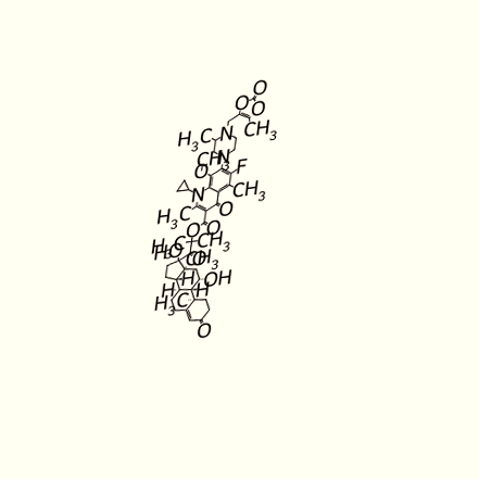 COc1c(N2CCN(Cc3oc(=O)oc3C)C(C)C2)c(F)c(C)c2c(=O)c(C(=O)OC(C)(C)C(=O)[C@@]3(O)CC[C@H]4[C@@H]5CCC6=CC(=O)CC[C@]6(C)[C@H]5[C@@H](O)C[C@@]43C)c(C)n(C3CC3)c12